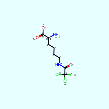 N[C@@H](CCCCNC(=O)C(Cl)(Cl)Cl)C(=O)O